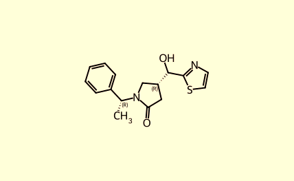 C[C@H](c1ccccc1)N1C[C@H](C(O)c2nccs2)CC1=O